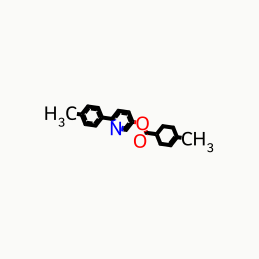 CC1=CCC(C(=O)Oc2ccc(-c3ccc(C)cc3)nc2)CC1